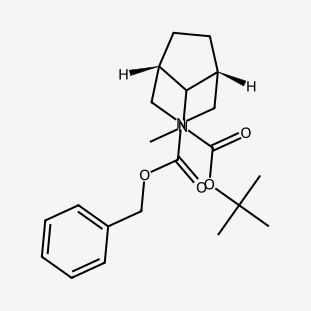 CN(C(=O)OC(C)(C)C)C1[C@@H]2CC[C@H]1CN(C(=O)OCc1ccccc1)C2